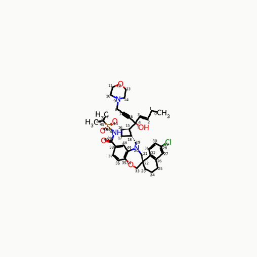 CC/C=C/[C@@](O)(C#CCN1CCOCC1)[C@@H]1CC[C@H]1CN1C[C@@]2(CCCc3cc(Cl)ccc32)COc2ccc(C(=O)NS(=O)(=O)C(C)C)cc21